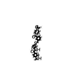 CNc1ccc(C(=O)Nc2ncc(SCc3cccc(C(=O)N4CCN(C(C)=O)CC4)c3)s2)cn1